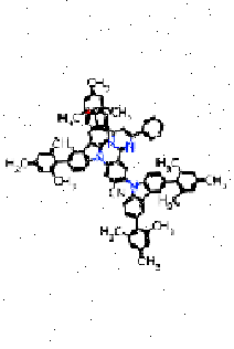 Cc1cc(C)c(-c2ccc3c(c2)c2cc(-c4c(C)cc(C)cc4C)ccc2n3-c2cc(-c3nc(-c4ccccc4)cc(-c4ccccc4)n3)c(-n3c4ccc(-c5c(C)cc(C)cc5C)cc4c4cc(-c5c(C)cc(C)cc5C)ccc43)cc2C#N)c(C)c1